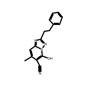 Cc1cc2nc(CCc3ccccc3)nn2c(O)c1C#N